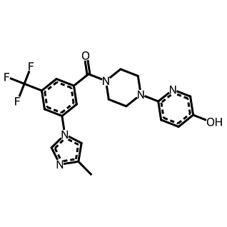 Cc1cn(-c2cc(C(=O)N3CCN(c4ccc(O)cn4)CC3)cc(C(F)(F)F)c2)cn1